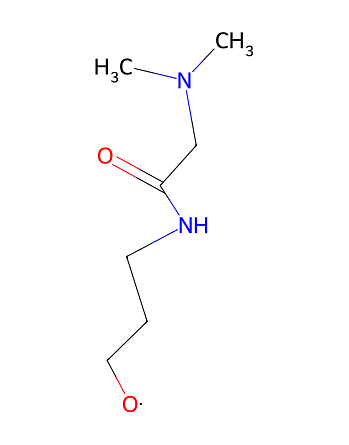 CN(C)CC(=O)NCCC[O]